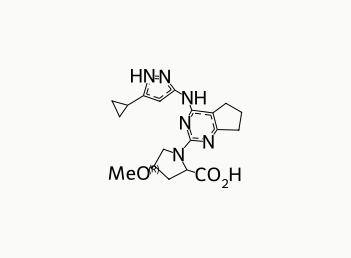 CO[C@@H]1CC(C(=O)O)N(c2nc3c(c(Nc4cc(C5CC5)[nH]n4)n2)CCC3)C1